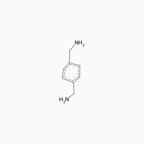 NCc1ccc(CN)cc1